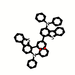 c1ccc(N(c2ccccc2)c2ccc3c(sc4ccccc43)c2-c2cccc(-c3ccc(N(c4ccccc4)c4ccccc4)c4c3sc3ccccc34)c2)cc1